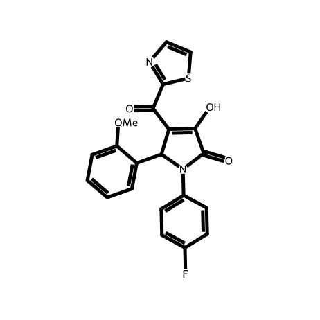 COc1ccccc1C1C(C(=O)c2nccs2)=C(O)C(=O)N1c1ccc(F)cc1